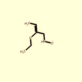 CC=C(CNCl)OCC